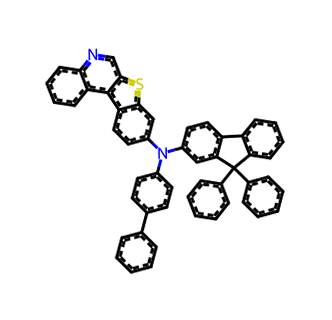 c1ccc(-c2ccc(N(c3ccc4c(c3)C(c3ccccc3)(c3ccccc3)c3ccccc3-4)c3ccc4c(c3)sc3cnc5ccccc5c34)cc2)cc1